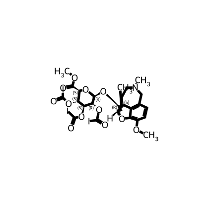 COC(=O)[C@H]1O[C@@H](O[C@@H]2C[C@@H]3Oc4c(OC)ccc5c4[C@]3(CCN(C)C5)C2C)[C@H](OC(=O)I)[C@@H](OC(=O)I)[C@@H]1OC(=O)I